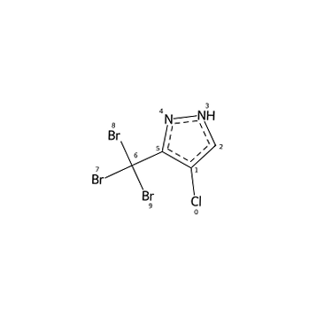 Clc1c[nH]nc1C(Br)(Br)Br